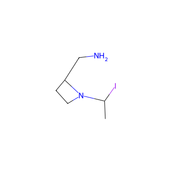 CC(I)N1CCC1CN